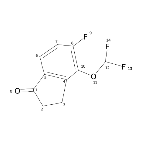 O=C1CCc2c1ccc(F)c2OC(F)F